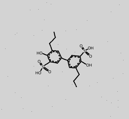 CCCc1cc(-c2cc(CCC)c(O)c(S(=O)(=O)O)c2)cc(S(=O)(=O)O)c1O